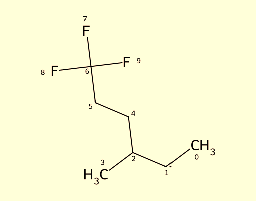 C[CH]C(C)CCC(F)(F)F